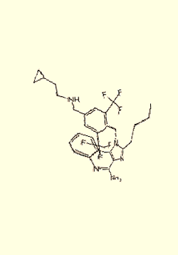 CCCCc1nc2c(N)nc3ccccc3c2n1Cc1c(C(F)(F)F)cc(CNCCC2CC2)cc1C(F)(F)F